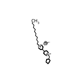 CCCCCCCCCCCC[n+]1ccc(-c2cc[n+](Cc3ccccc3)cc2)cc1.[Br-].[Cl-]